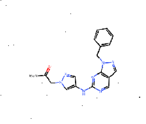 CNC(=O)Cn1cc(Nc2ncc3cnn(Cc4ccccc4)c3n2)cn1